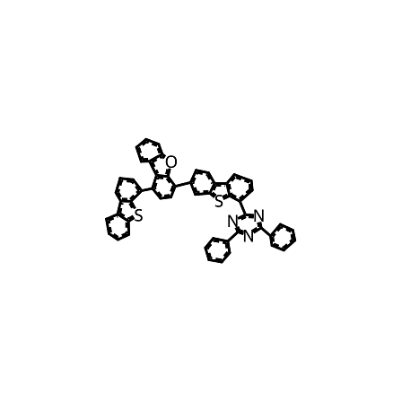 c1ccc(-c2nc(-c3ccccc3)nc(-c3cccc4c3sc3cc(-c5ccc(-c6cccc7c6sc6ccccc67)c6c5oc5ccccc56)ccc34)n2)cc1